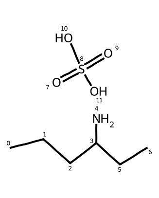 CCCC(N)CC.O=S(=O)(O)O